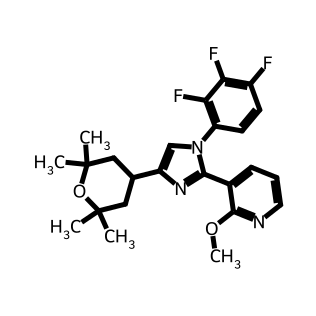 COc1ncccc1-c1nc(C2CC(C)(C)OC(C)(C)C2)cn1-c1ccc(F)c(F)c1F